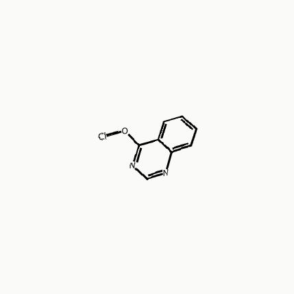 ClOc1ncnc2ccccc12